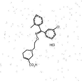 Cc1ccccc1C(=NOCCN1CCC=C(C(=O)O)C1)c1cccc(Cl)c1.Cl